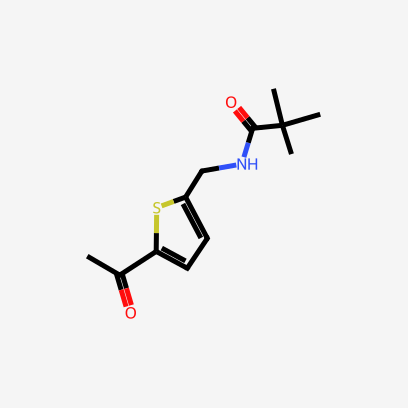 CC(=O)c1ccc(CNC(=O)C(C)(C)C)s1